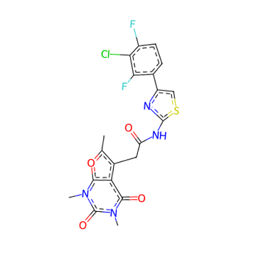 Cc1oc2c(c1CC(=O)Nc1nc(-c3ccc(F)c(Cl)c3F)cs1)c(=O)n(C)c(=O)n2C